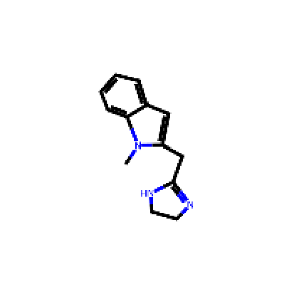 Cn1c(CC2=NCCN2)cc2ccccc21